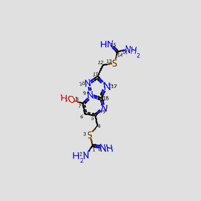 N=C(N)SCc1cc(O)n2nc(CSC(=N)N)nc2n1